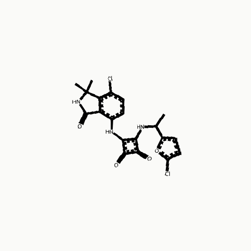 CC(Nc1c(Nc2ccc(Cl)c3c2C(=O)NC3(C)C)c(=O)c1=O)c1ccc(Cl)o1